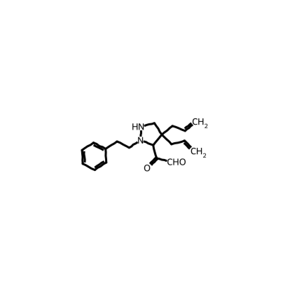 C=CCC1(CC=C)CNN(CCc2ccccc2)C1C(=O)C=O